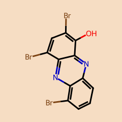 Oc1c(Br)cc(Br)c2nc3c(Br)cccc3nc12